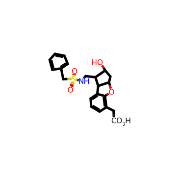 O=C(O)Cc1cccc2c1OC1CC(O)C(CNS(=O)(=O)Cc3ccccc3)C21